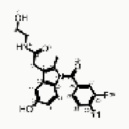 Cc1c(CC(=O)NCCO)c2cc(O)ccc2n1C(=O)c1ccc(Cl)c(F)c1